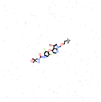 CC1(CNC(=O)Nc2cc(F)c(Oc3ccnc4c3c(Br)cn4COCC[Si](C)(C)C)c(F)c2)COC1